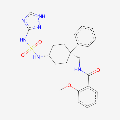 COc1ccccc1C(=O)NC[C@]1(c2ccccc2)CC[C@H](NS(=O)(=O)Nc2nc[nH]n2)CC1